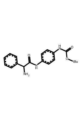 CC(C)(C)OC(=O)Nc1ccc(NC(=O)C(N)c2ccccc2)cc1